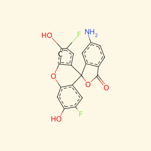 Nc1ccc2c(c1)C1(OC2=O)c2cc(F)c(O)cc2Oc2cc(O)c(F)cc21